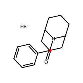 Br.O=C1CC2CCCC(C1)N2Cc1ccccc1